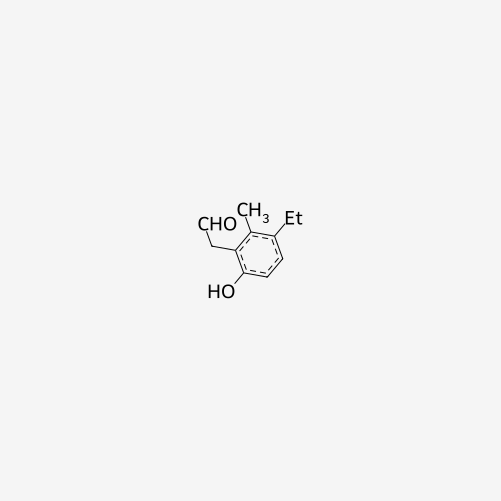 CCc1ccc(O)c(CC=O)c1C